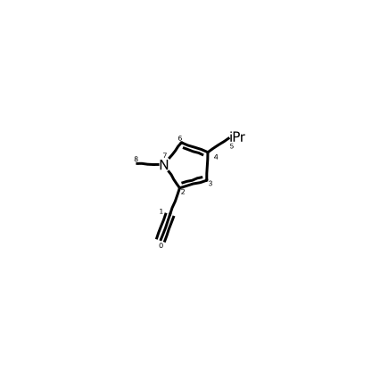 C#Cc1cc(C(C)C)cn1C